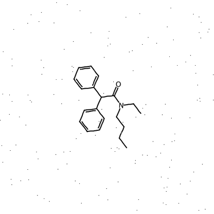 CCCCN(CC)C(=O)C(c1ccccc1)c1ccccc1